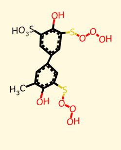 Cc1cc(-c2cc(SOOO)c(O)c(S(=O)(=O)O)c2)cc(SOOO)c1O